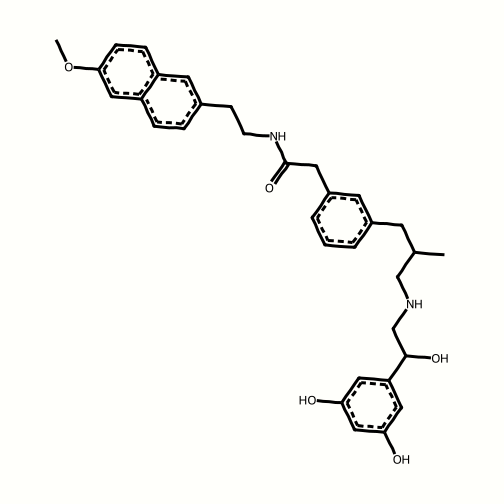 COc1ccc2cc(CCNC(=O)Cc3cccc(CC(C)CNCC(O)c4cc(O)cc(O)c4)c3)ccc2c1